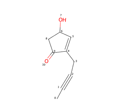 CC#CCC1=CC(O)CC1=O